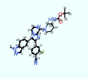 Cn1ncc2cc(-c3c(-c4ccc(C#N)c(F)c4)nc4c(N5CCC[C@@H](NC(=O)OC(C)(C)C)C5)nccn34)ccc21